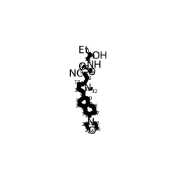 CCC(O)CNS(=O)(=O)/C(C#N)=C/c1ccc(-c2ccc3cc(N4CCOCC4)ccc3c2)n1C